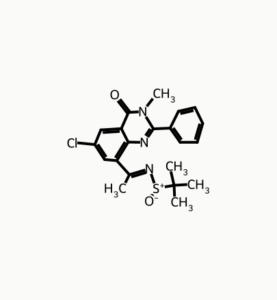 CC(=N[S@+]([O-])C(C)(C)C)c1cc(Cl)cc2c(=O)n(C)c(-c3ccccc3)nc12